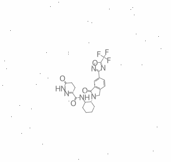 O=C1CCC(C(=O)N[C@@H]2CCCC[C@H]2N2Cc3ccc(-c4noc(C(F)(F)F)n4)cc3C2=O)=NN1